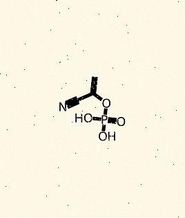 C=C(C#N)OP(=O)(O)O